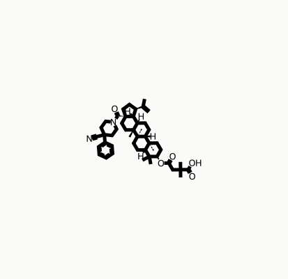 C=C(C)[C@@H]1CC[C@]2(C(=O)N3CCC(C#N)(c4ccccc4)CC3)CC[C@]3(C)[C@H](CC[C@@H]4[C@@]5(C)CC[C@H](OC(=O)CC(C)(C)C(=O)O)C(C)(C)[C@@H]5CC[C@]43C)[C@@H]12